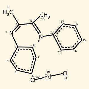 CC(=Nc1ccccc1)C(C)=Nc1ccccc1.[Cl][Pd][Cl]